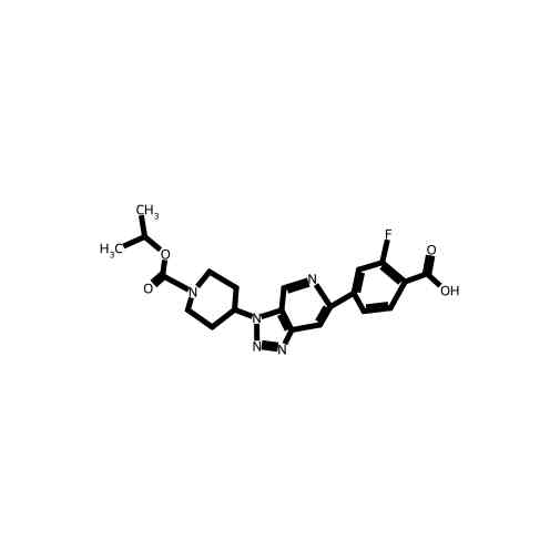 CC(C)OC(=O)N1CCC(n2nnc3cc(-c4ccc(C(=O)O)c(F)c4)ncc32)CC1